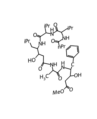 CCCC(=O)NC(C(=O)NC(C(=O)NC(CC(C)C)C(O)CC(=O)NC(C)C(=O)NC(Cc1ccccc1)C(O)CC(=O)OC)C(C)C)C(C)C